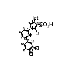 CCc1cn(-c2cccc(-c3ccc(Cl)c(Cl)c3)n2)c(C)c1C(=O)O